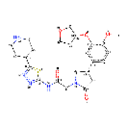 COc1ccc([C@@H]2CC(=O)N(CC(=O)Nc3nnc(C4CCNCC4)s3)C2)cc1O[C@@H]1CCOC1